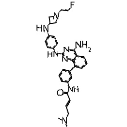 CN(C)CC=CC(=O)Nc1cccc(-c2cccc3c(N)nc(Nc4ccc(NC5CN(CCF)C5)cc4)nc23)c1